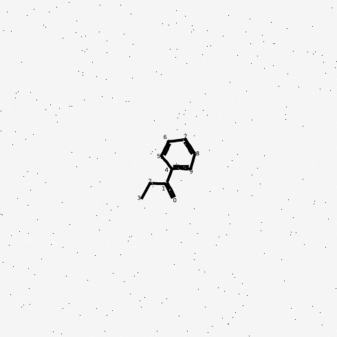 C=C(CC)c1[c]cccc1